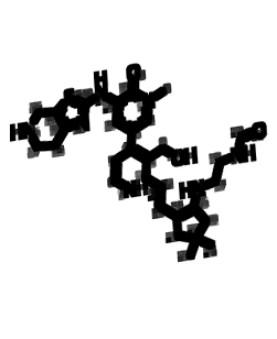 Cn1cc(C(/C=C\N)=C(\CO)C/C=C/C2=C(NCCNC=O)CC(C)(C)C2)cc(Nc2nc3c(s2)CNCC3)c1=O